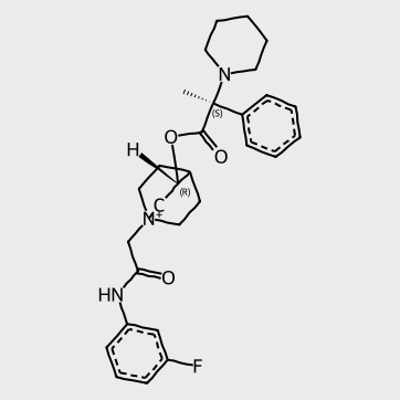 C[C@@](C(=O)O[C@H]1C[N+]2(CC(=O)Nc3cccc(F)c3)CCC1CC2)(c1ccccc1)N1CCCCC1